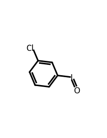 O=Ic1cccc(Cl)c1